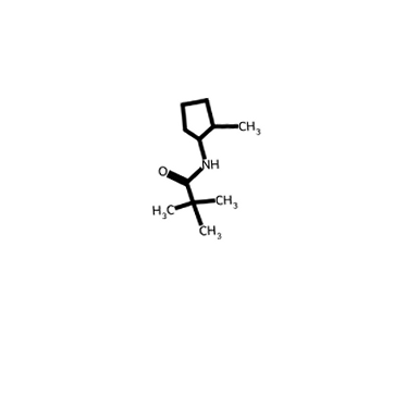 CC1CCCC1NC(=O)C(C)(C)C